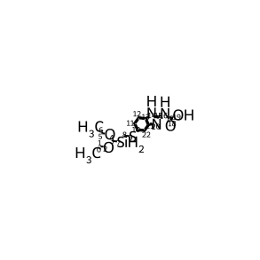 CCOC(OCC)[SiH2]CSc1ccc2[nH]c(NC(=O)O)nc2c1